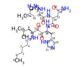 CCCCCCN[C@@H](CC(C)C)C(=O)C(=O)[C@H](Cc1cnc[nH]1)NC(=O)C(CC(N)=O)NC(=O)[C@H](CC(C)C)NN